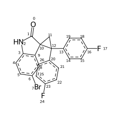 O=C1Nc2ccc(Br)cc2C12CC2(c1ccc(F)cc1)c1ccc(F)cc1